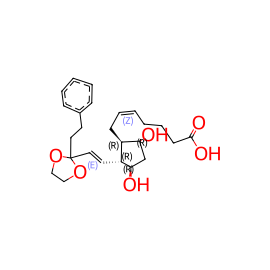 O=C(O)CCC/C=C\C[C@@H]1[C@@H](/C=C/C2(CCc3ccccc3)OCCO2)[C@H](O)C[C@H]1O